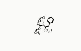 C=CCl.C=COC(=O)CC(=Cc1ccccc1)S(=O)(=O)O